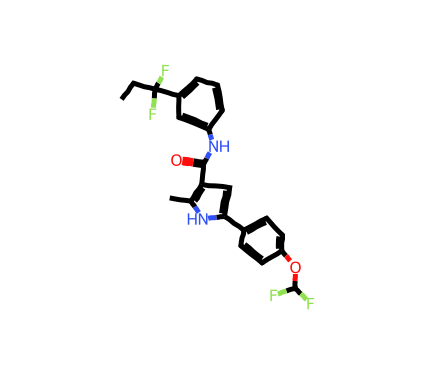 CCC(F)(F)c1cccc(NC(=O)c2cc(-c3ccc(OC(F)F)cc3)[nH]c2C)c1